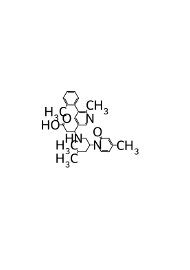 Cc1ccn(C(CNC(CC(=O)O)c2cnc(C)c(-c3ccccc3C)c2)CC(C)C)c(=O)c1